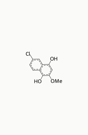 COc1cc(O)c2cc(Cl)ccc2c1O